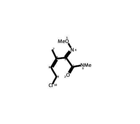 CNC(=O)C(=N/OC)/C(C)=C\CCl